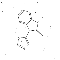 O=C1Cc2ccccc2N1c1cncs1